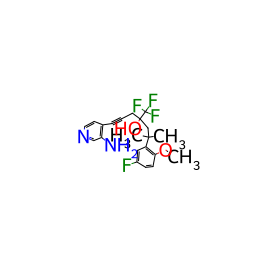 COc1ccc(F)cc1C(C)(C)CC(O)(CC#Cc1ccncc1N)C(F)(F)F